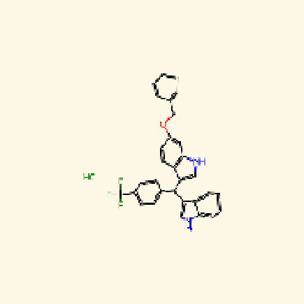 Cl.FC(F)(F)c1ccc([C](c2c[nH]c3ccccc23)c2c[nH]c3cc(OCc4ccccc4)ccc23)cc1